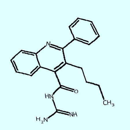 CCCCc1c(-c2ccccc2)nc2ccccc2c1C(=O)NC(=N)N